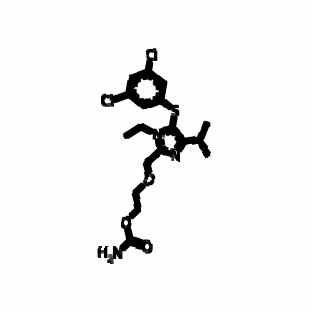 CCn1c(COCCOC(N)=O)nc(C(C)C)c1Sc1cc(Cl)cc(Cl)c1